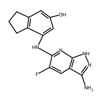 Nc1n[nH]c2nc(Nc3cc(O)cc4c3CCC4)c(F)cc12